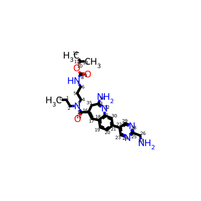 CCCN(CCCNC(=O)OC(C)C)C(=O)C1=Cc2ccc(-c3cnc(CN)nc3)cc2N=C(N)C1